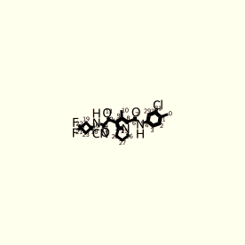 Cc1ccc(NC(=O)c2c(C)c(C(=O)C(=O)NC3(C#N)CC(F)(F)C3)c3n2CCC3)cc1Cl